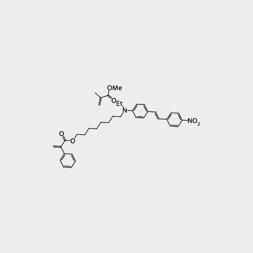 C=C(C(=O)OCCCCCCCCN(CC)c1ccc(C=Cc2ccc([N+](=O)[O-])cc2)cc1)c1ccccc1.C=C(C)C(=O)OC